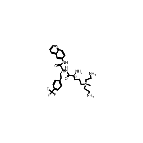 C[N+](CCN)(CCN)CCC[C@H](N)C(=O)N[C@@H](CCc1ccc(C(F)(F)F)cc1)C(=O)Nc1ccc2ncccc2c1